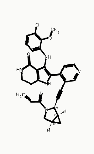 C=CC(=O)N1C[C@@H]2C[C@@H]2[C@@H]1C#Cc1cnccc1-c1[nH]c2c(c1Nc1cccc(Cl)c1OC)C(=O)NCC2